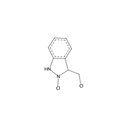 ClCC1c2ccccc2NN1Cl